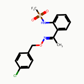 C/C(=N\OCc1ccc(Cl)cc1)c1ccccc1NS(=O)(=O)C(F)(F)F